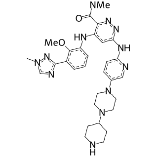 CNC(=O)c1nnc(Nc2ccc(N3CCN(C4CCNCC4)CC3)cn2)cc1Nc1cccc(-c2ncn(C)n2)c1OC